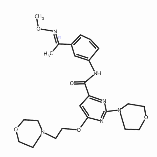 CO/N=C(\C)c1cccc(NC(=O)c2cc(OCCN3CCOCC3)nc(N3CCOCC3)n2)c1